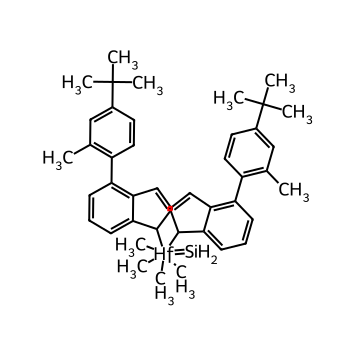 Cc1cc(C(C)(C)C)ccc1-c1cccc2c1C=C[CH]2[Hf]([CH3])([CH3])([CH3])([CH3])(=[SiH2])[CH]1C=Cc2c(-c3ccc(C(C)(C)C)cc3C)cccc21